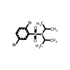 CC(C)N(C(C)C)S(=O)(=O)c1cc(Br)ccc1Br